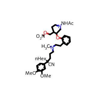 CCCCCCC(C#N)(CCCN(C)CCc1ccccc1OC1CN(NC(C)=O)CCC1CO[N+](=O)[O-])c1ccc(OC)c(OC)c1